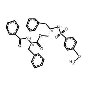 COc1ccc(S(=O)(=O)N[C@H](COC(=O)[C@@H](Cc2ccccc2)NC(=O)c2ccccc2)Cc2ccccc2)cc1